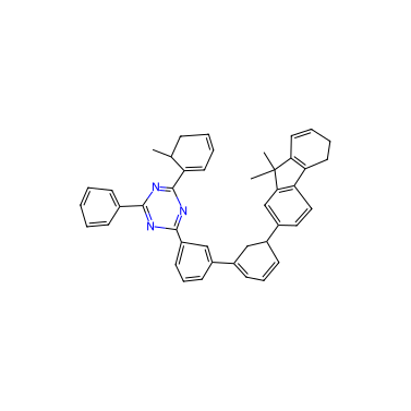 CC1CC=CC=C1c1nc(-c2ccccc2)nc(-c2cccc(C3=CC=CC(c4ccc5c(c4)C(C)(C)C4=C5CCC=C4)C3)c2)n1